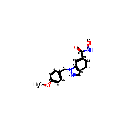 COc1ccc(Cn2ncc3ccc(C(=O)NO)cc32)cc1